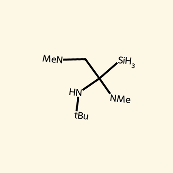 CNCC([SiH3])(NC)NC(C)(C)C